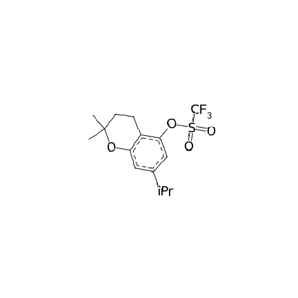 CC(C)c1cc2c(c(OS(=O)(=O)C(F)(F)F)c1)CCC(C)(C)O2